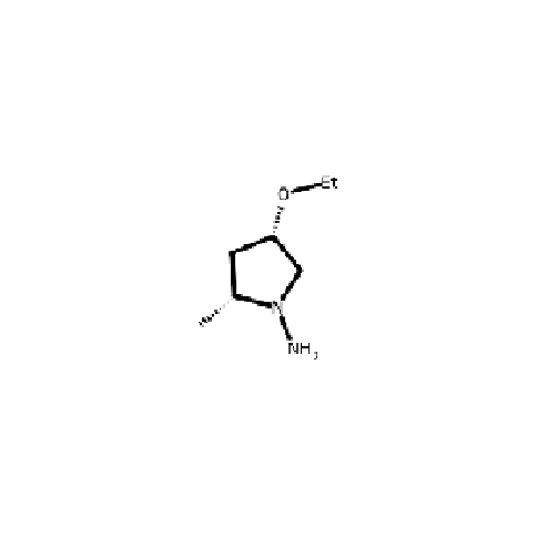 CCO[C@H]1C[C@@H](C)N(N)C1